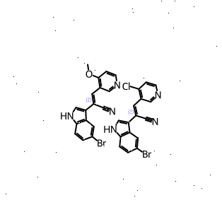 COc1ccncc1/C=C(\C#N)c1c[nH]c2ccc(Br)cc12.N#C/C(=C\c1cnccc1Cl)c1c[nH]c2ccc(Br)cc12